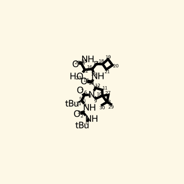 CC(C)(C)NC(=O)N[C@H](C(=O)N1CC2(C[C@H]1C(=O)NC(CC1CCC1)C(O)C(N)=O)CC2(C)C)C(C)(C)C